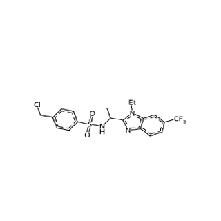 CCn1c(C(C)NS(=O)(=O)c2ccc(CCl)cc2)nc2ccc(C(F)(F)F)cc21